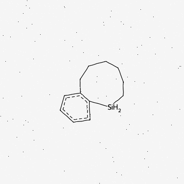 c1ccc2c(c1)CCCCCC[SiH2]2